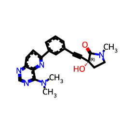 CN1CC[C@@](O)(C#Cc2cccc(-c3ccc4ncnc(N(C)C)c4n3)c2)C1=O